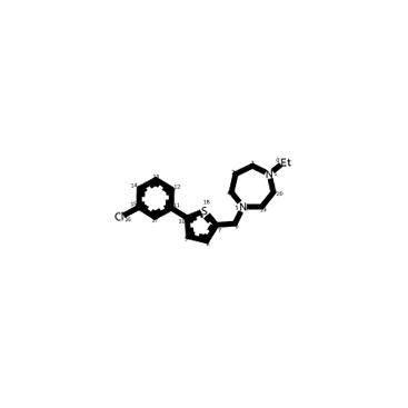 CCN1CCCN(Cc2ccc(-c3cccc(Cl)c3)s2)CC1